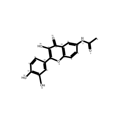 CC(=O)Nc1ccc2oc(-c3ccc(O)c(O)c3)c(O)c(=O)c2c1